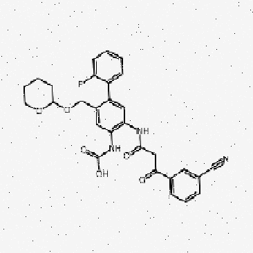 N#Cc1cccc(C(=O)CC(=O)Nc2cc(-c3ccccc3F)c(COC3CCCCO3)cc2NC(=O)O)c1